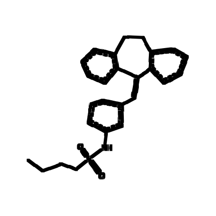 CCCCS(=O)(=O)Nc1cccc(C=C2c3ccccc3CCc3ccccc32)c1